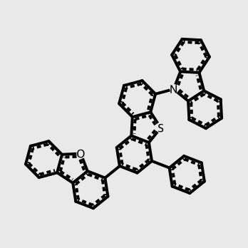 c1ccc(-c2cc(-c3cccc4c3oc3ccccc34)cc3c2sc2c(-n4c5ccccc5c5ccccc54)cccc23)cc1